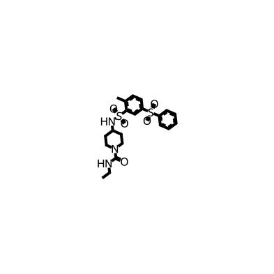 CCNC(=O)N1CCC(NS(=O)(=O)c2cc(S(=O)(=O)c3ccccc3)ccc2C)CC1